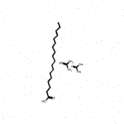 CCCCCCCCCCCCCCCCCC(=O)O.N=C(N)N.O=C(O)O